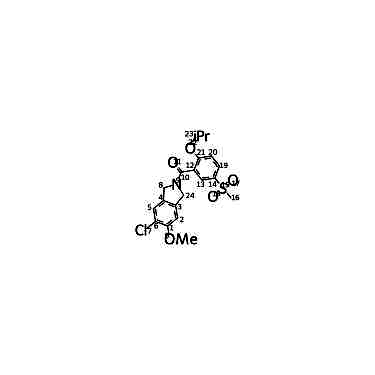 COc1cc2c(cc1Cl)CN(C(=O)c1cc(S(C)(=O)=O)ccc1OC(C)C)C2